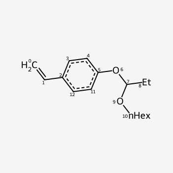 C=Cc1ccc(OC(CC)OCCCCCC)cc1